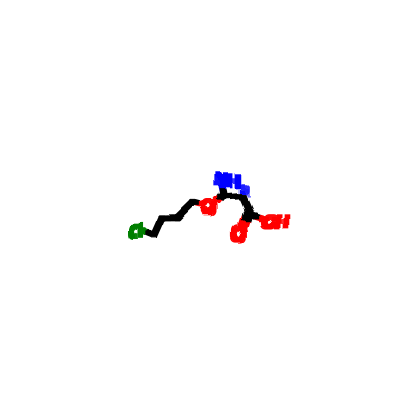 NC(CC(=O)O)OCCCCCl